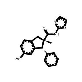 CC(=O)c1ccc2c(c1)[C@@H](c1ccccc1)[C@@](C)(C(=O)Nc1nccs1)C2